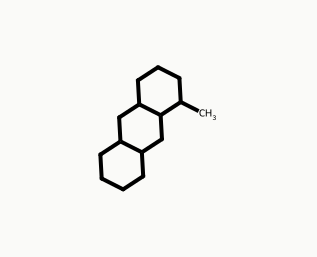 CC1CCCC2CC3CCCCC3CC12